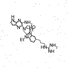 CCn1c(CN(C=O)c2nc3cc[nH]c3nc2N)[n+](CC)c2ccc(CCCNC(=N)N)cc21